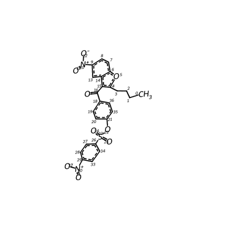 CCCCc1oc2ccc([N+](=O)[O-])cc2c1C(=O)c1ccc(OS(=O)(=O)c2ccc([N+](=O)[O-])cc2)cc1